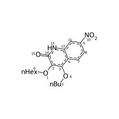 CCCCCCOc1c(OCCCC)c2ccc([N+](=O)[O-])cc2[nH]c1=O